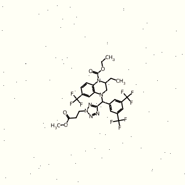 CCOC(=O)N1c2ccc(C(F)(F)F)cc2N(C(c2cc(C(F)(F)F)cc(C(F)(F)F)c2)c2nnn(CCC(=O)OC)n2)CC1CC